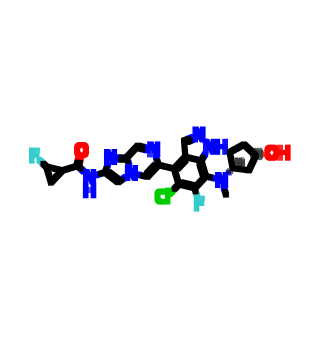 CN(c1c(F)c(Cl)c(-c2cn3cc(NC(=O)C4CC4F)nc3cn2)c2cn[nH]c12)[C@@H]1CC[C@H](O)C1